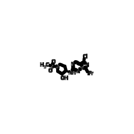 CC(C)c1nc(Cl)c2cnc(N[C@@H]3CCN(S(C)(=O)=O)C[C@H]3O)nn12